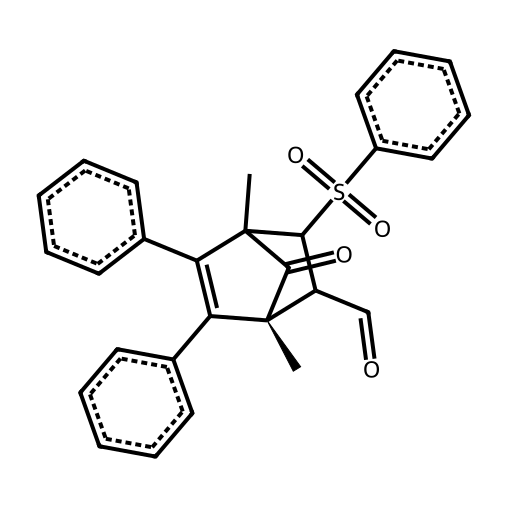 CC12C(=O)[C@@](C)(C(c3ccccc3)=C1c1ccccc1)C(C=O)C2S(=O)(=O)c1ccccc1